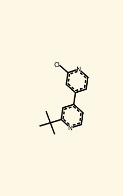 CC(C)(C)c1cc(-c2ccnc(Cl)c2)ccn1